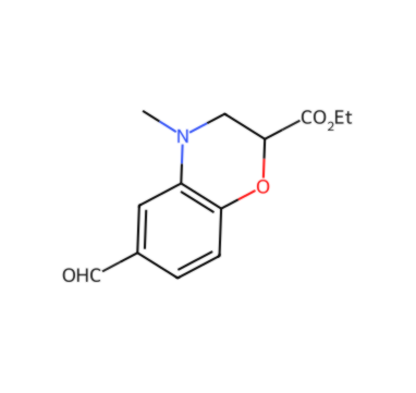 CCOC(=O)C1CN(C)c2cc(C=O)ccc2O1